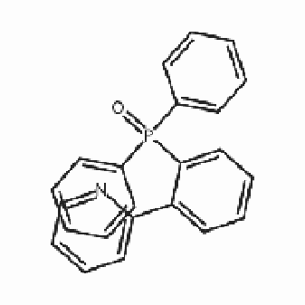 O=P(c1ccccc1)(c1ccccc1)c1ccccc1-c1ccccn1